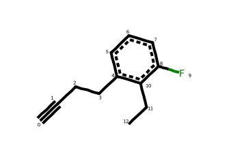 C#CCCc1cccc(F)c1CC